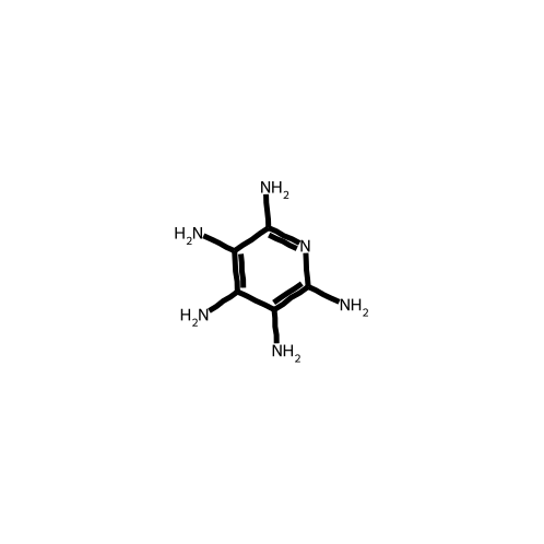 Nc1nc(N)c(N)c(N)c1N